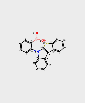 OB(O)c1ccccc1-n1c2ccccc2c2c3ccccc3sc21